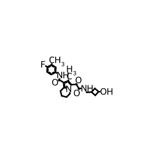 Cc1cc(NC(=O)c2c(C)c(C(=O)C(=O)NCC3CC(O)C3)n3c2CCCC3)ccc1F